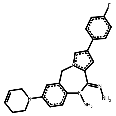 N/N=C1/c2cc(-c3ccc(F)cc3)cn2Cc2cc(N3CC=CCC3)ccc2N1N